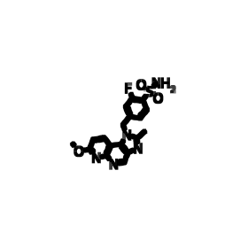 COc1ccc2c(ncc3nc(C)n(Cc4ccc(S(N)(=O)=O)c(F)c4)c32)n1